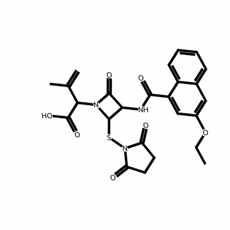 C=C(C)C(C(=O)O)N1C(=O)C(NC(=O)c2cc(OCC)cc3ccccc23)C1SN1C(=O)CCC1=O